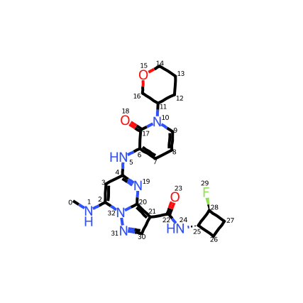 CNc1cc(Nc2cccn(C3CCCOC3)c2=O)nc2c(C(=O)N[C@H]3CC[C@@H]3F)cnn12